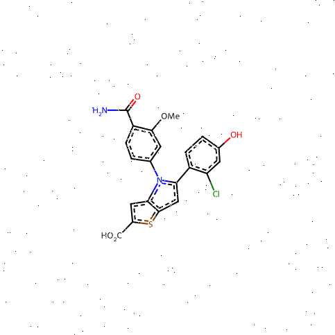 COc1cc(-n2c(-c3ccc(O)cc3Cl)cc3sc(C(=O)O)cc32)ccc1C(N)=O